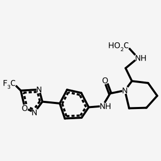 O=C(O)NCC1CCCCN1C(=O)Nc1ccc(-c2noc(C(F)(F)F)n2)cc1